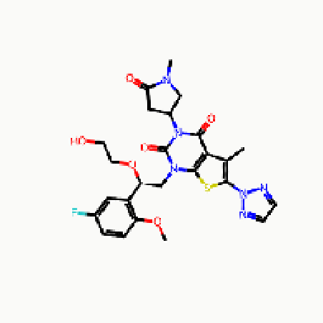 COc1ccc(F)cc1[C@H](Cn1c(=O)n(C2CC(=O)N(C)C2)c(=O)c2c(C)c(-n3nccn3)sc21)OCCO